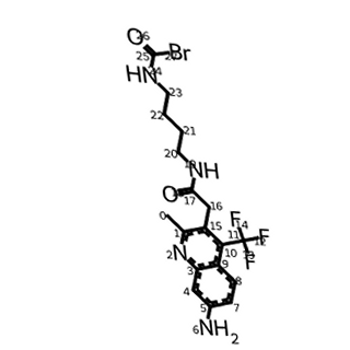 Cc1nc2cc(N)ccc2c(C(F)(F)F)c1CC(=O)NCCCCNC(=O)Br